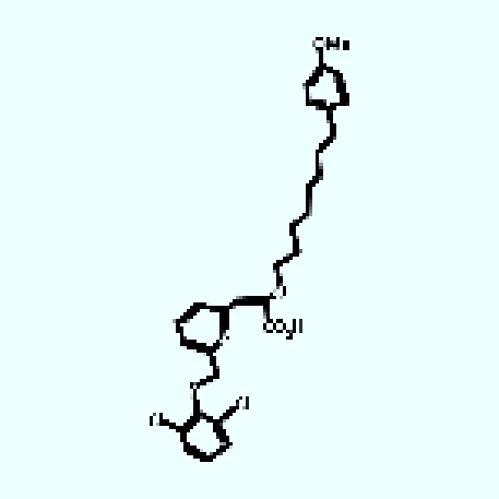 COc1ccc(CCCCCCCCOC(=Cc2cccc(CSc3c(Cl)cccc3Cl)n2)C(=O)O)cc1